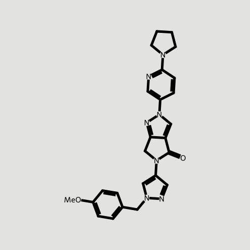 COc1ccc(Cn2cc(N3Cc4nn(-c5ccc(N6CCCC6)nc5)cc4C3=O)cn2)cc1